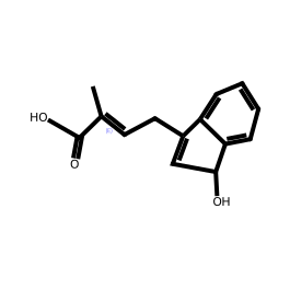 C/C(=C\CC1=CC(O)c2ccccc21)C(=O)O